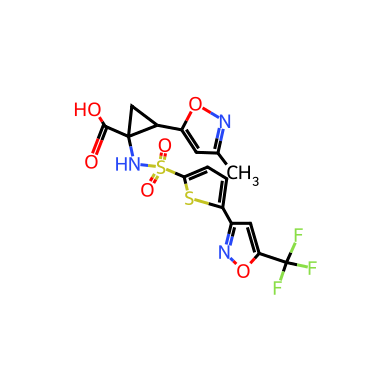 Cc1cc(C2CC2(NS(=O)(=O)c2ccc(-c3cc(C(F)(F)F)on3)s2)C(=O)O)on1